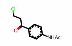 CC(=O)Nc1ccc(C(=O)CCCl)cc1